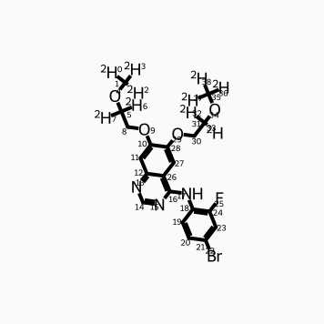 [2H]C([2H])([2H])OC([2H])([2H])COc1cc2ncnc(Nc3ccc(Br)cc3F)c2cc1OCC([2H])([2H])OC([2H])([2H])[2H]